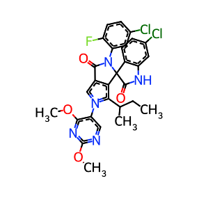 CCC(C)c1c2c(cn1-c1cnc(OC)nc1OC)C(=O)N(c1cc(Cl)ccc1F)C21C(=O)Nc2cc(Cl)ccc21